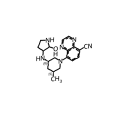 C[C@H]1C[C@@H](NC2CCNC2O)CN(c2ccc(C#N)c3nccnc23)C1